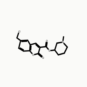 CN1CCCC(OC(=O)c2cc3cc(CCl)ccc3oc2=O)C1